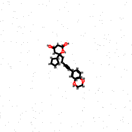 O=C1CC(=O)OC(CCC#Cc2ccc3c(c2)OCCO3)(C2CCCC2)C1